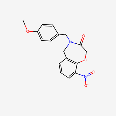 COc1ccc(CN2Cc3cccc([N+](=O)[O-])c3OCC2=O)cc1